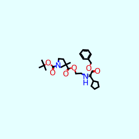 CC(C)(C)OC(=O)N1CCC(C)(C(=O)OCCN[C@H](C(=O)OCc2ccccc2)C2CCCC2)C1